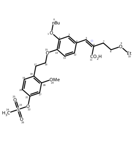 CCCCOc1cc(/C=C(/CCOCC)C(=O)O)ccc1OCCc1ccc(OS(C)(=O)=O)cc1OC